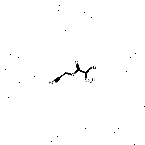 C#CCOC(=O)C(C(=O)O)C(C)CC